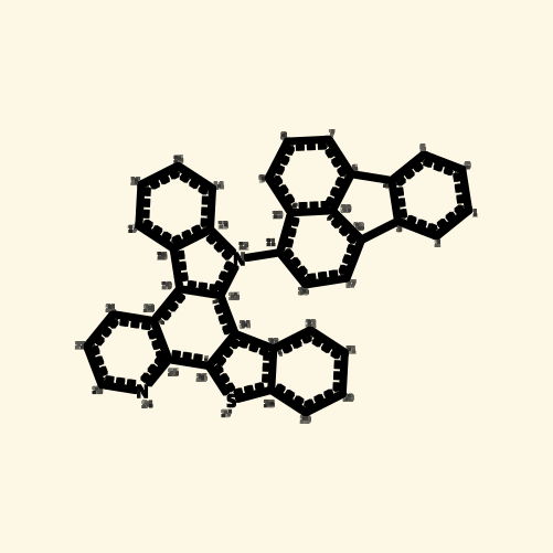 c1ccc2c(c1)-c1cccc3c(-n4c5ccccc5c5c6cccnc6c6sc7ccccc7c6c54)ccc-2c13